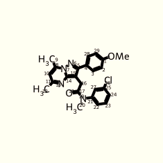 COc1ccc(-c2nn3c(C)cc(C)nc3c2CC(=O)N(C)c2cccc(Cl)c2)cc1